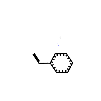 C=Cc1ccccc1.[Al+3].[N-3]